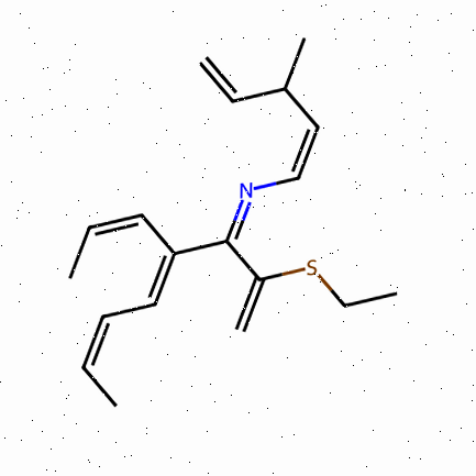 C=CC(C)/C=C\N=C(/C(=C)SCC)C(=C/C=C\C)/C=C\C